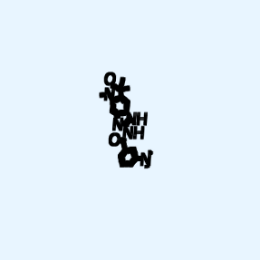 CN(C)c1cccc(C(=O)Nc2nc3cc4c(cc3[nH]2)C(C)(C)C(=O)N4C)c1